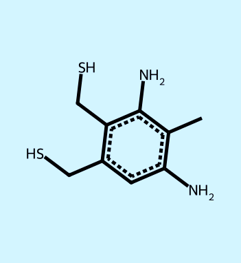 Cc1c(N)cc(CS)c(CS)c1N